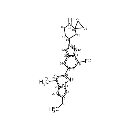 CCc1cn2nc(-c3cc(F)c4nn(C5CCNC6(CC6)C5)cc4c3)cc(C)c2n1